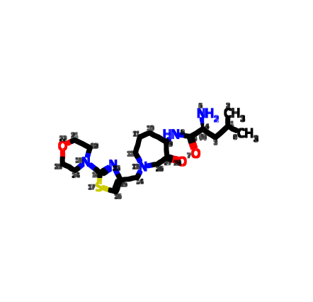 CC(C)C[C@H](N)C(=O)NC1CCCN(Cc2csc(N3CCOCC3)n2)CC1=O